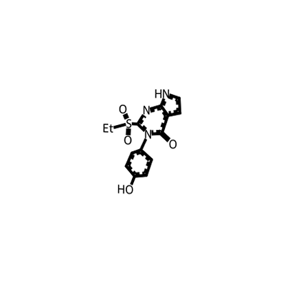 CCS(=O)(=O)c1nc2[nH]ccc2c(=O)n1-c1ccc(O)cc1